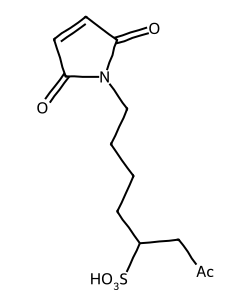 CC(=O)CC(CCCCN1C(=O)C=CC1=O)S(=O)(=O)O